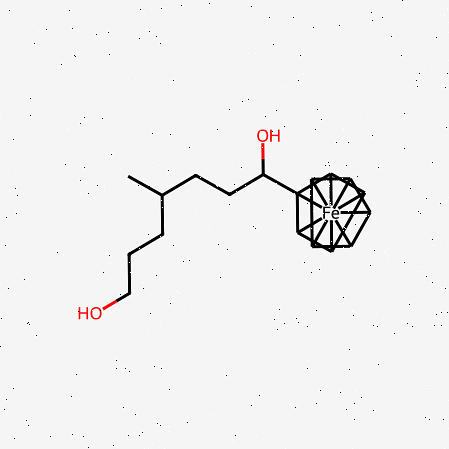 CC(CCCO)CCC(O)[C]12[CH]3[CH]4[CH]5[CH]1[Fe]45321678[CH]2[CH]1[CH]6[CH]7[CH]28